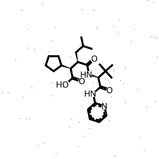 CC(C)C[C@@H](C(=O)N[C@H](C(=O)Nc1ccccn1)C(C)(C)C)[C@@H](C(=O)O)C1CCCC1